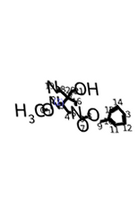 CO/N=C1\CN(C(=O)OCc2ccccc2)CC1(C#N)CO